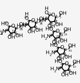 Cl.N[C@H]1C(O)O[C@H](CO)[C@@H](O)[C@@H]1O.N[C@H]1C(O)O[C@H](CO)[C@@H](O)[C@@H]1O.N[C@H]1C(O)O[C@H](CO)[C@@H](O)[C@@H]1O.N[C@H]1C(O)O[C@H](CO)[C@@H](O)[C@@H]1O.N[C@H]1C(O)O[C@H](CO)[C@@H](O)[C@@H]1O.N[C@H]1C(O)O[C@H](CO)[C@@H](O)[C@@H]1O